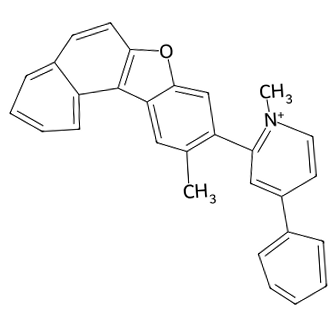 Cc1cc2c(cc1-c1cc(-c3ccccc3)cc[n+]1C)oc1ccc3ccccc3c12